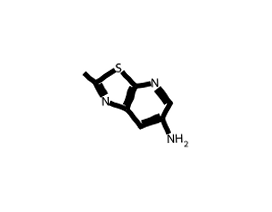 Cc1nc2cc(N)cnc2s1